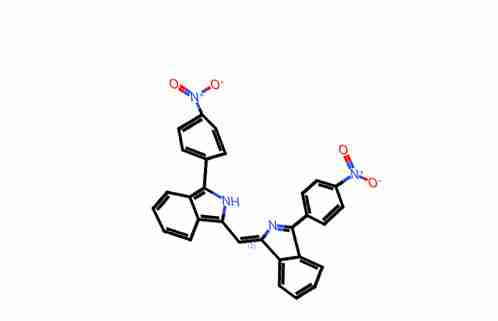 O=[N+]([O-])c1ccc(C2=N/C(=C\c3[nH]c(-c4ccc([N+](=O)[O-])cc4)c4ccccc34)c3ccccc32)cc1